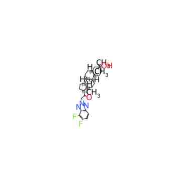 C[C@@]1(O)CC[C@@]2(C)[C@H](CC[C@@H]3[C@@H]2CC[C@]2(C)[C@@H](C(=O)Cn4nc5ccc(F)c(F)c5n4)CC[C@@H]32)C1